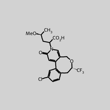 CO[C@@H](C)CC(C(=O)O)n1cc2c(cc1=O)-c1cc(Cl)ccc1C[C@@H](C(F)(F)F)OC2